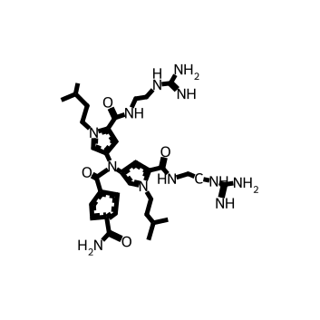 CC(C)CCn1cc(N(C(=O)c2ccc(C(N)=O)cc2)c2cc(C(=O)NCCNC(=N)N)n(CCC(C)C)c2)cc1C(=O)NCCNC(=N)N